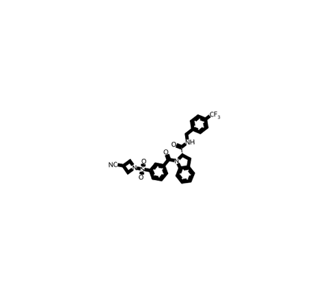 N#CC1CN(S(=O)(=O)c2cccc(C(=O)N3c4ccccc4C[C@H]3C(=O)NCc3ccc(C(F)(F)F)cc3)c2)C1